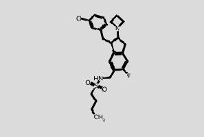 CCCCS(=O)(=O)NCc1cc2c(cc1F)CC(N1CCC1)C2Cc1cccc(Cl)c1